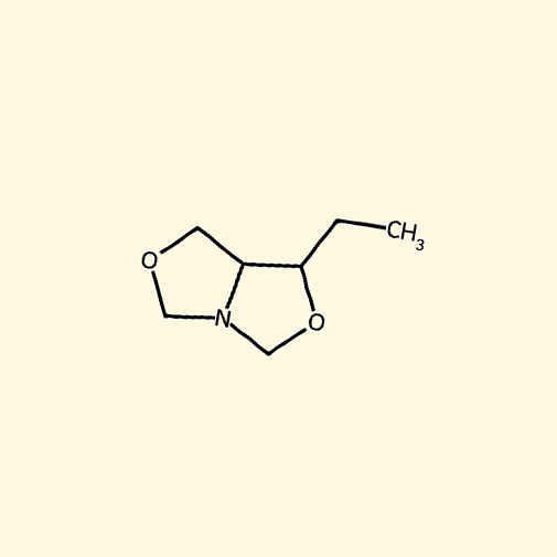 CCC1OCN2COCC12